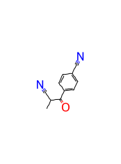 CC(C#N)C(=O)c1ccc(C#N)cc1